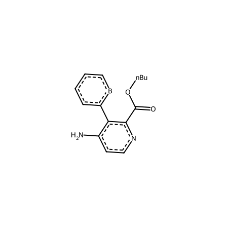 CCCCOC(=O)c1nccc(N)c1-c1bcccc1